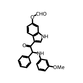 COc1cccc(NC(C(=O)c2c[nH]c3cc(OC=O)ccc23)c2ccccc2)c1